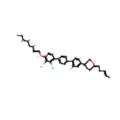 C/C=C/CCC1CCC(c2ccc(-c3ccc(-c4ccc(OCCCCCCCC)c(F)c4F)cc3)c(F)c2)CO1